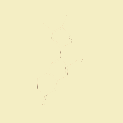 COc1cc2c(cc1-c1ccc(C)c(F)c1)CCC(=O)N2